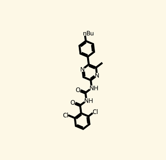 CCCCc1ccc(-c2ncc(NC(=O)NC(=O)c3c(Cl)cccc3Cl)nc2C)cc1